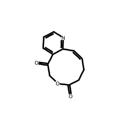 O=C1CC/C=C\c2ncccc2C(=O)CO1